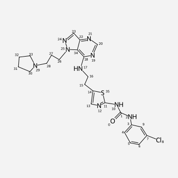 O=C(Nc1cccc(Cl)c1)Nc1ncc(CCNc2ncnc3cnn(CCCN4CCCC4)c23)s1